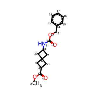 COC(=O)C1CC2(CC(NC(=O)OCc3ccccc3)C2)C1